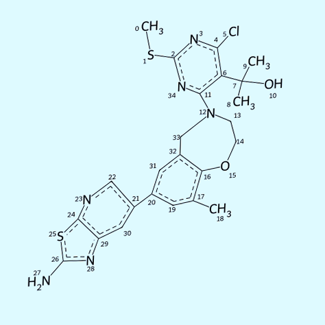 CSc1nc(Cl)c(C(C)(C)O)c(N2CCOc3c(C)cc(-c4cnc5sc(N)nc5c4)cc3C2)n1